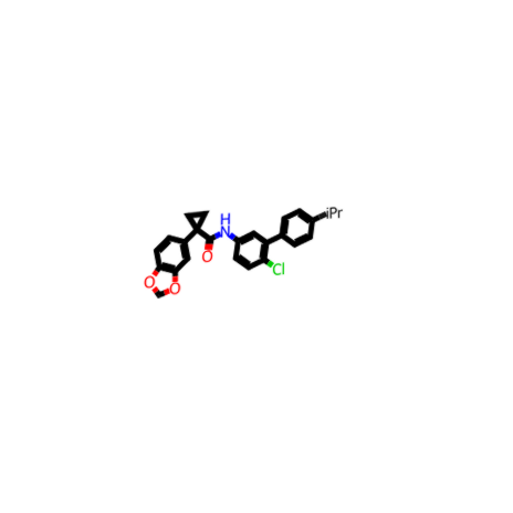 CC(C)c1ccc(-c2cc(NC(=O)C3(c4ccc5c(c4)OCO5)CC3)ccc2Cl)cc1